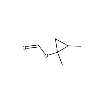 CC1CC1(C)O[C]=O